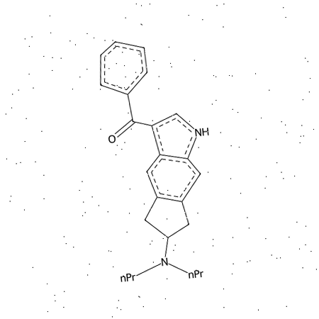 CCCN(CCC)C1Cc2cc3[nH]cc(C(=O)c4ccccc4)c3cc2C1